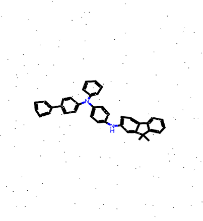 CC1(C)c2ccccc2-c2ccc(Nc3ccc(N(c4ccccc4)c4ccc(-c5ccccc5)cc4)cc3)cc21